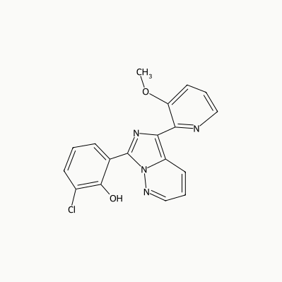 COc1cccnc1-c1nc(-c2cccc(Cl)c2O)n2ncccc12